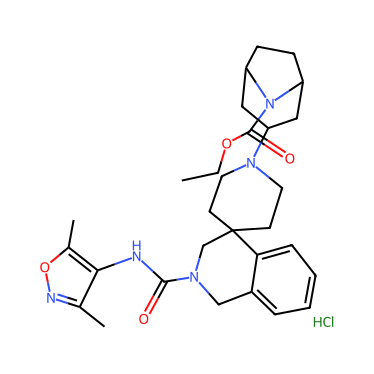 CCOC(=O)N1C2CCC1CC(N1CCC3(CC1)CN(C(=O)Nc1c(C)noc1C)Cc1ccccc13)C2.Cl